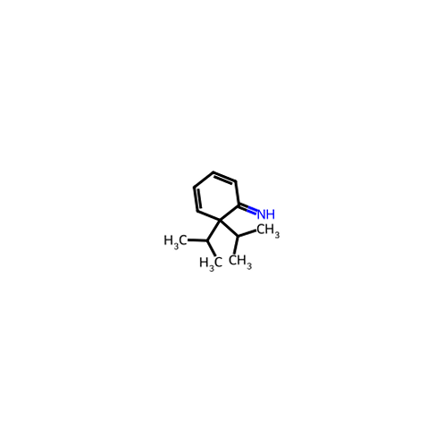 CC(C)C1(C(C)C)C=CC=CC1=N